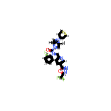 O=C(N(Cc1ccc(-c2nnc(C(F)F)o2)cn1)c1ccccc1F)N1C[C@@H]2C[C@H]1CN2C1CCSCC1